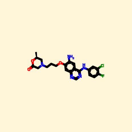 C[C@H]1CN(CCCOc2cc3ncnc(Nc4ccc(F)c(Cl)c4)c3cc2N)CC(=O)O1